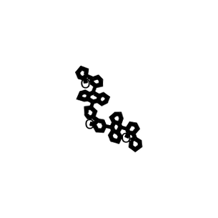 c1ccc2c(c1)oc1c(-c3c4ccccc4c(-c4ccc5oc6ccc(-c7c8ccccc8c(-c8cccc9c8oc8ccccc89)c8ccccc78)cc6c5c4)c4ccccc34)cccc12